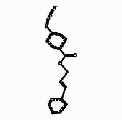 [N-]=[N+]=Nc1ccc(C(=O)OCC=Cc2ccccc2)cc1